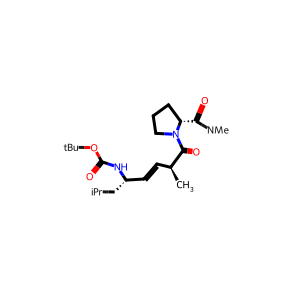 CNC(=O)[C@H]1CCCN1C(=O)[C@@H](C)/C=C/[C@H](CC(C)C)NC(=O)OC(C)(C)C